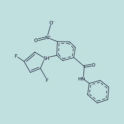 O=C(Nc1ccccc1)c1ccc([N+](=O)[O-])c([SH]2C=C(F)C=C2F)c1